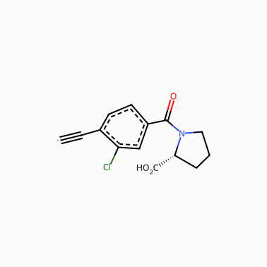 [C]#Cc1ccc(C(=O)N2CCC[C@@H]2C(=O)O)cc1Cl